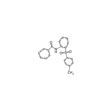 Cc1ccc(S(=O)(=O)c2ccccc2NC(=O)c2ccccc2)cc1